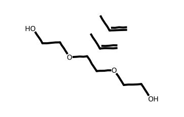 C=CC.C=CC.OCCOCCOCCO